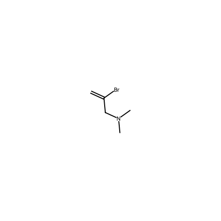 C=C(Br)CN(C)C